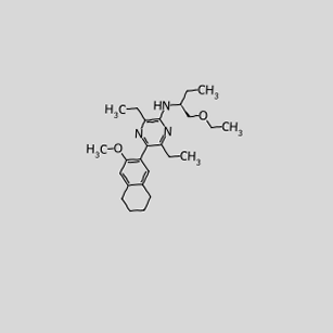 CCOC[C@H](CC)Nc1nc(CC)c(-c2cc3c(cc2OC)CCCC3)nc1CC